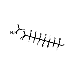 CC(N)OC(=O)C(F)(F)C(F)(F)C(F)(F)C(F)(F)C(F)(F)C(F)(F)C(F)(F)F